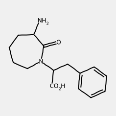 NC1CCCCN(C(Cc2ccccc2)C(=O)O)C1=O